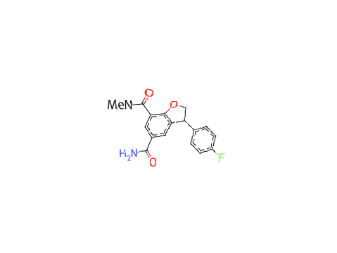 CNC(=O)c1cc(C(N)=O)cc2c1OCC2c1ccc(F)cc1